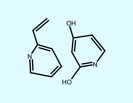 C=Cc1ccccn1.Oc1ccnc(O)c1